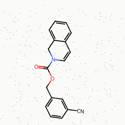 N#Cc1cccc(COC(=O)N2C=Cc3ccccc3C2)c1